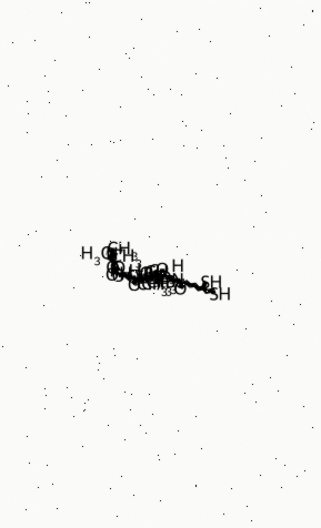 CC(C)(C)CC(C)(C(=O)OCCNC(=O)CCCCC(S)CCS)C(C)(C)C(C)(C)C(C)(C(=O)OCCOP(=O)([O-])OCC[N+](C)(C)C)C(C)(C)C